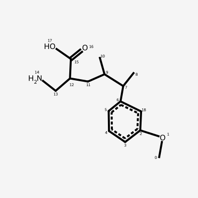 COc1cccc(C(C)C(C)CC(CN)C(=O)O)c1